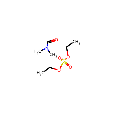 CCOS(=O)(=O)OCC.CN(C)C=O